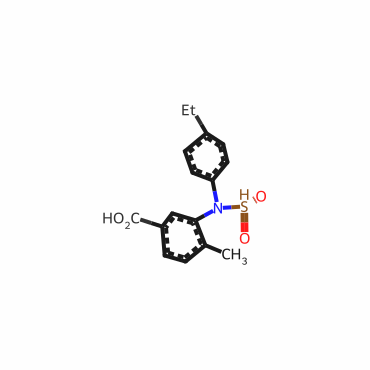 CCc1ccc(N(c2cc(C(=O)O)ccc2C)[SH](=O)=O)cc1